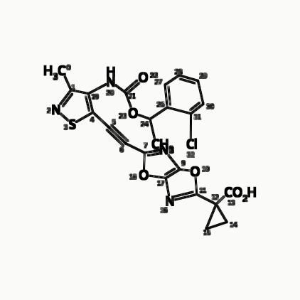 Cc1nsc(C#Cc2nc3oc(C4(C(=O)O)CC4)nc3o2)c1NC(=O)OC(C)c1ccccc1Cl